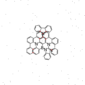 c1ccc(-c2cccc(-c3ccccc3)c2N2c3ccccc3B3c4c2cc(-n2c5ccccc5c5ccccc52)cc4N(c2c(-c4ccccc4)cccc2-c2ccccc2)c2nc4ccccc4n23)cc1